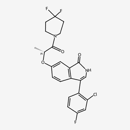 C[C@@H](Oc1ccc2c(-c3ccc(F)cc3Cl)c[nH]c(=O)c2c1)C(=O)N1CCC(F)(F)CC1